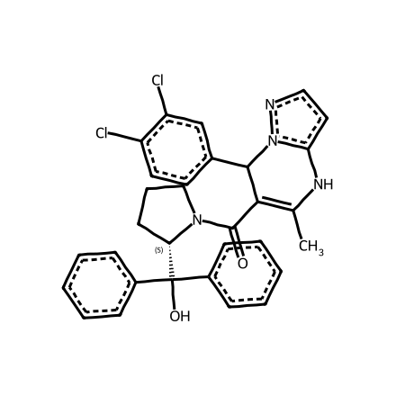 CC1=C(C(=O)N2CCC[C@H]2C(O)(c2ccccc2)c2ccccc2)C(c2ccc(Cl)c(Cl)c2)n2nccc2N1